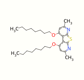 CCCCCCCCOc1cc(C)nc2sc3nc(C)cc(OCCCCCCCC)c3c12